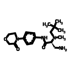 CN(CC(C)(C)C)[C@H](CN)C(=O)Nc1ccc(N2CCOCC2=O)cc1